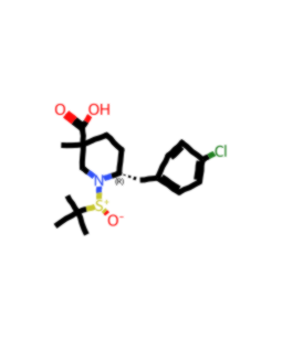 CC1(C(=O)O)CC[C@H](Cc2ccc(Cl)cc2)N([S+]([O-])C(C)(C)C)C1